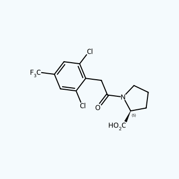 O=C(O)[C@@H]1CCCN1C(=O)Cc1c(Cl)cc(C(F)(F)F)cc1Cl